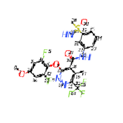 COc1cc(F)c(Oc2nnc(C(F)(F)F)c(C)c2C(=O)Nc2cccc(S(C)(=N)=O)c2)c(F)c1